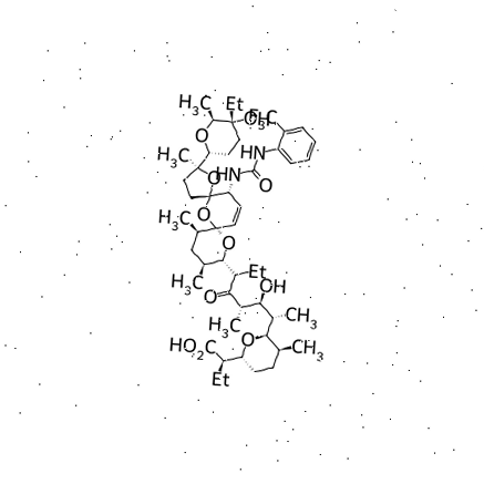 CCC(C(=O)[C@@H](C)[C@@H](O)[C@H](C)[C@@H]1O[C@@H]([C@@H](CC)C(=O)O)CC[C@@H]1C)[C@H]1O[C@]2(C=C[C@@H](NC(=O)Nc3ccccc3C(F)(F)F)[C@]3(CC[C@@](C)([C@H]4CC[C@](O)(CC)[C@H](C)O4)O3)O2)[C@H](C)C[C@@H]1C